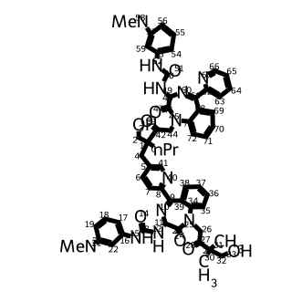 CCCC(CO)(Cc1ccc(C2=NC(NC(=O)Nc3cccc(NC)c3)C(=O)N(CC(=O)C(C)(C)CO)c3ccccc32)nc1)C(=O)CN1C(=O)C(NC(=O)Nc2cccc(NC)c2)N=C(c2ccccn2)c2ccccc21